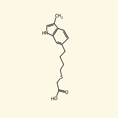 Cc1c[nH]c2cc(CCCCSCC(=O)O)ccc12